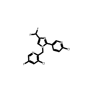 Fc1cnc(Cn2cc(C(F)F)nc2-c2ccc(Cl)nc2)c(Cl)c1